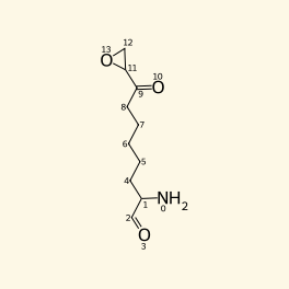 NC(C=O)CCCCCC(=O)C1CO1